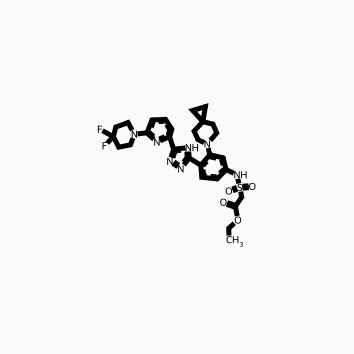 CCOC(=O)CS(=O)(=O)Nc1ccc(-c2nnc(-c3cccc(N4CCC(F)(F)CC4)n3)[nH]2)c(N2CCC3(CC2)CC3)c1